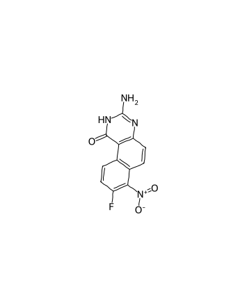 Nc1nc2ccc3c([N+](=O)[O-])c(F)ccc3c2c(=O)[nH]1